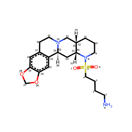 NCCCCS(=O)(=O)N1CCC[C@H]2CN3CCc4cc5c(cc4[C@@H]3C[C@H]21)OCO5